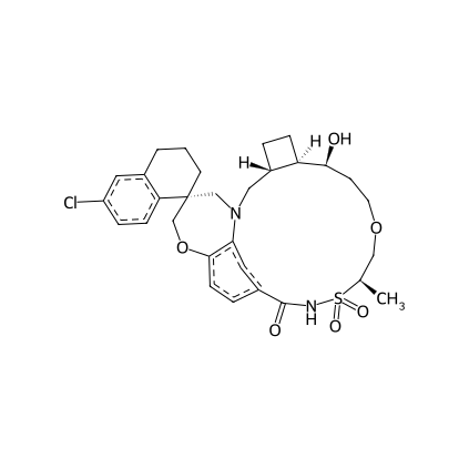 C[C@@H]1COCC[C@H](O)[C@@H]2CC[C@H]2CN2C[C@]3(CCCc4cc(Cl)ccc43)COc3ccc(cc32)C(=O)NS1(=O)=O